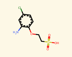 Nc1cc(Cl)ccc1OCCS(=O)(=O)O